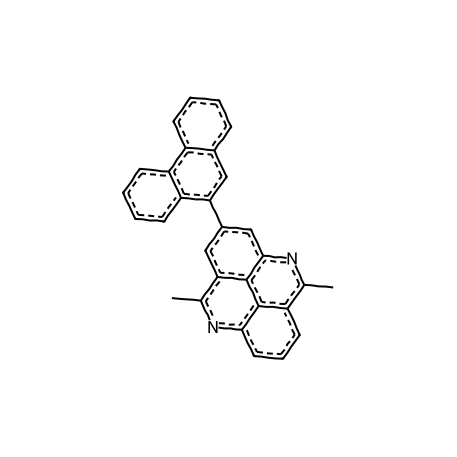 Cc1nc2cc(-c3cc4ccccc4c4ccccc34)cc3c(C)nc4cccc1c4c23